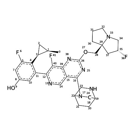 C[C@@H]1C[C@@H]1c1c(F)cc(O)cc1-c1ncc2c(N3CC4CCC3CN4)nc(OC[C@@]34CCCN3C[C@H](F)C4)nc2c1F